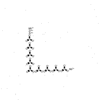 [Nb+5].[Nb+5].[O]=[Ti]([O-])[O-].[O]=[Ti]([O-])[O-].[O]=[Ti]([O-])[O-].[O]=[Ti]([O-])[O-].[O]=[Ti]([O-])[O-].[O]=[Ti]([O-])[O-].[O]=[Ti]([O-])[O-].[O]=[Ti]([O-])[O-].[O]=[Ti]([O-])[O-].[Zr+4].[Zr+4]